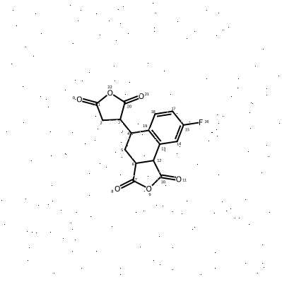 O=C1CC(C2CC3C(=O)OC(=O)C3c3cc(F)ccc32)C(=O)O1